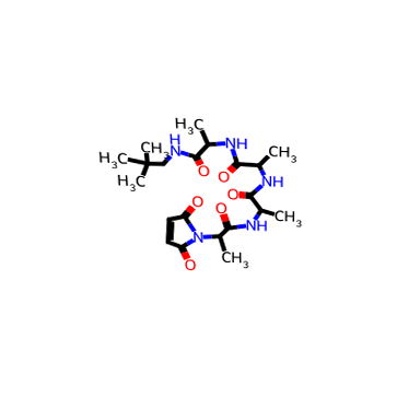 CC(NC(=O)C(C)NC(=O)C(C)NC(=O)C(C)N1C(=O)C=CC1=O)C(=O)NCC(C)(C)C